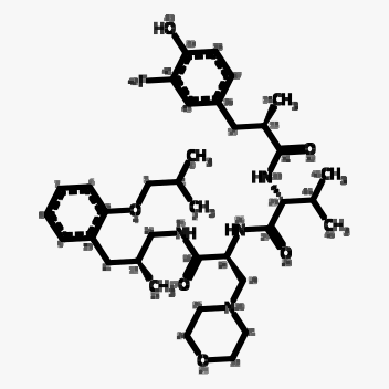 CC(C)COc1ccccc1C[C@H](C)CNC(=O)[C@H](CN1CCOCC1)NC(=O)[C@H](NC(=O)[C@H](C)Cc1ccc(O)c(F)c1)C(C)C